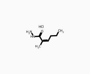 CCCC=C(C)C(=O)NN.Cl